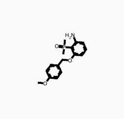 COc1ccc(COc2cccc(N)c2P(C)(C)=O)cc1